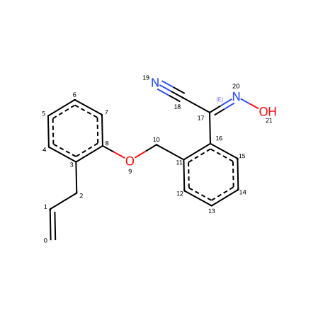 C=CCc1ccccc1OCc1ccccc1/C(C#N)=N\O